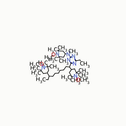 CCc1nc(C(CCCCCCC(CC)C2CC(C)(C)N(OC)C(C)(C)C2)C2CC(C)(C)N(OC)C(C)(C)C2)nc(N(C)C2CC(C)(C)N(OC)C(C)(C)C2)n1